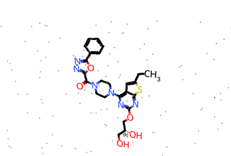 CCc1cc2c(N3CCN(C(=O)c4nnc(-c5ccccc5)o4)CC3)nc(OC[C@H](O)CO)nc2s1